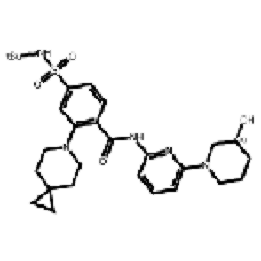 CC(C)(C)NS(=O)(=O)c1ccc(C(=O)Nc2cccc(N3CCC[C@H](O)C3)n2)c(N2CCC3(CC2)CC3)c1